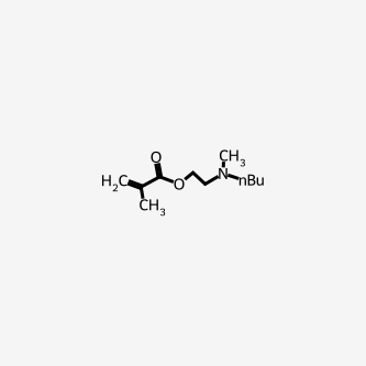 C=C(C)C(=O)OCCN(C)CCCC